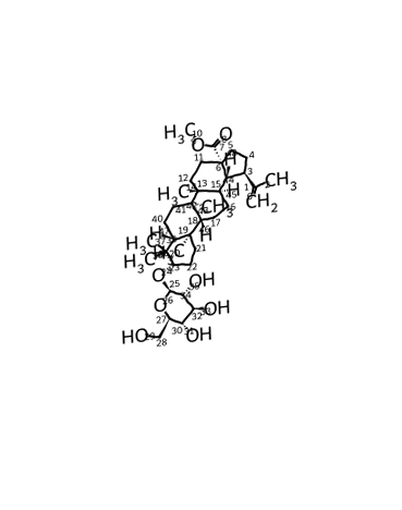 C=C(C)[C@@H]1CC[C@]2(C(=O)OC)CC[C@]3(C)[C@H](CC[C@@H]4[C@@]5(C)CC[C@H](O[C@@H]6O[C@H](CO)[C@@H](O)[C@H](O)[C@H]6O)C(C)(C)[C@@H]5CC[C@]43C)[C@@H]12